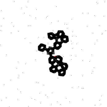 c1ccc(-c2nc(-c3ccc(-c4cccc(-c5ccccc5)c4-n4c5ccccc5c5ccccc54)cc3)nc(-c3ccc(-c4ccccc4)c(-n4c5ccccc5c5ccccc54)c3)n2)cc1